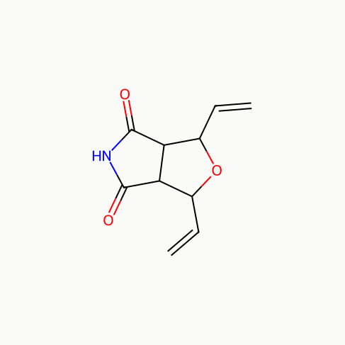 C=CC1OC(C=C)C2C(=O)NC(=O)C12